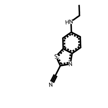 CCNc1ccc2nc(C#N)sc2c1